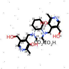 Cc1ncc(CO)c(CN(CC(=O)O)[C@@H]2CCCC[C@H]2N(CC(=O)O)Cc2c(CO)cnc(C)c2O)c1O